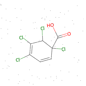 O=C(O)C1(Cl)C=CC(Cl)=C(Cl)C1Cl